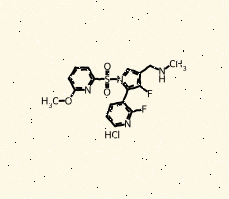 CNCc1cn(S(=O)(=O)c2cccc(OC)n2)c(-c2cccnc2F)c1F.Cl